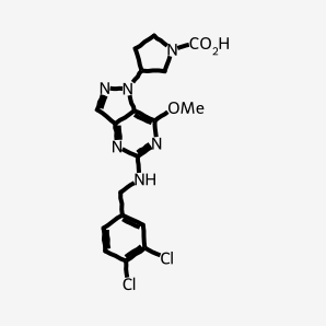 COc1nc(NCc2ccc(Cl)c(Cl)c2)nc2cnn(C3CCN(C(=O)O)C3)c12